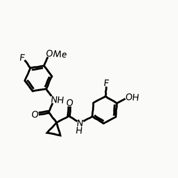 COc1cc(NC(=O)C2(C(=O)NC3=CC=C(O)C(F)C3)CC2)ccc1F